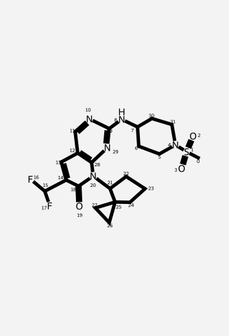 CS(=O)(=O)N1CCC(Nc2ncc3cc(C(F)F)c(=O)n(C4CCCC45CC5)c3n2)CC1